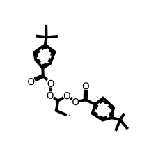 [CH2]C[C](OOC(=O)c1ccc(C(C)(C)C)cc1)OOC(=O)c1ccc(C(C)(C)C)cc1